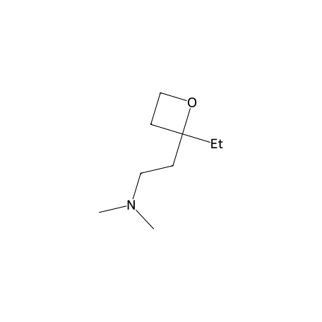 CCC1(CCN(C)C)CCO1